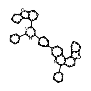 c1ccc(-c2nc(-c3ccc(-c4ccc5c(c4)nc(-c4ccccc4)c4ccc6oc7ccccc7c6c45)cc3)cc(-c3cccc4oc5ccccc5c34)n2)cc1